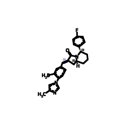 Bc1cc(/C=C2\C[C@@H]3CCC[C@@H](c4ccc(F)cc4)N3C2=O)ccc1-n1cnc(C)c1